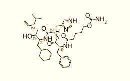 C=C[C@@H](C[C@H](O)[C@H](CC1CCCCC1)NC(=O)[C@H](Cc1c[nH]cn1)NC(=O)[C@H](Cc1ccccc1)NC(=O)CCCCOC(N)=O)C(C)C